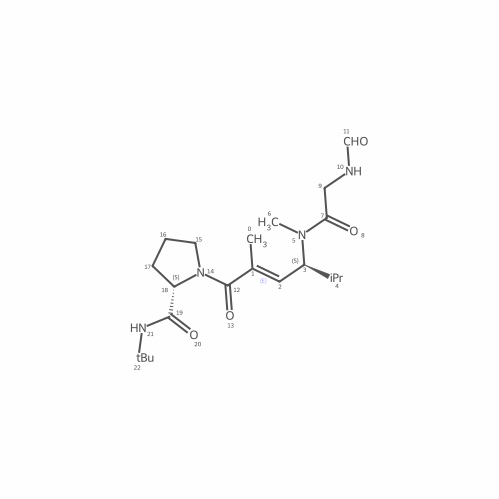 C/C(=C\[C@H](C(C)C)N(C)C(=O)CNC=O)C(=O)N1CCC[C@H]1C(=O)NC(C)(C)C